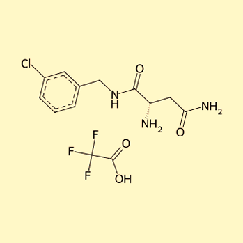 NC(=O)C[C@H](N)C(=O)NCc1cccc(Cl)c1.O=C(O)C(F)(F)F